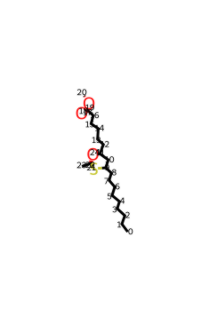 CCCCCCCCCC(CCCCCCCC(=O)OC)SC(C)=O